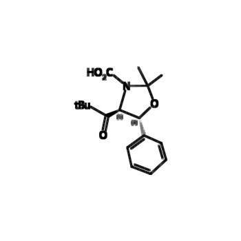 CC(C)(C)C(=O)[C@@H]1[C@@H](c2ccccc2)OC(C)(C)N1C(=O)O